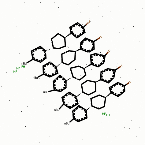 CCCCc1ccc([C@H]2CC[C@H](c3ccc([S])cc3)CC2)cc1.CCCCc1ccc([C@H]2CC[C@H](c3ccc([S])cc3)CC2)cc1.CCCCc1ccc([C@H]2CC[C@H](c3ccc([S])cc3)CC2)cc1.CCCCc1ccc([C@H]2CC[C@H](c3ccc([S])cc3)CC2)cc1.CCCCc1ccc([C@H]2CC[C@H](c3ccc([S])cc3)CC2)cc1.F.F.F.F.F